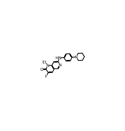 CCn1c(=O)c(F)cc2cnc(Nc3ccc(N4CCCCC4)cc3)cc21